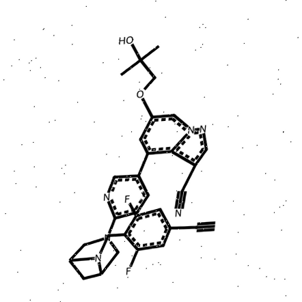 C#Cc1cc(F)c(CN2C3CC2CN(c2ccc(-c4cc(OCC(C)(C)O)cn5ncc(C#N)c45)cn2)C3)c(F)c1